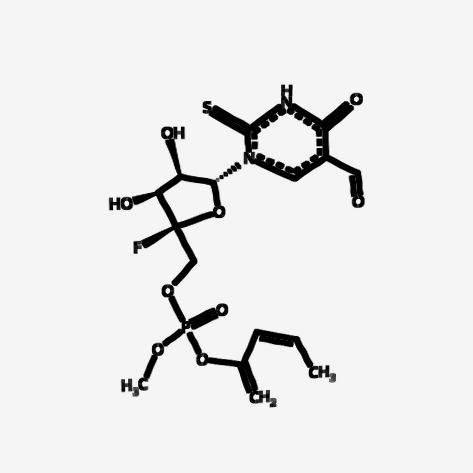 C=C(/C=C\C)OP(=O)(OC)OC[C@@]1(F)O[C@@H](n2cc(C=O)c(=O)[nH]c2=S)[C@H](O)[C@@H]1O